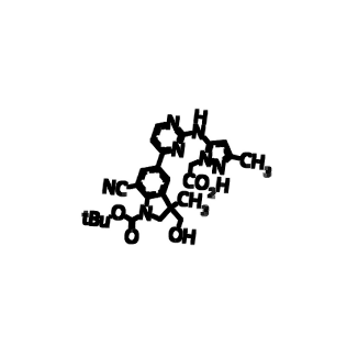 Cc1cc(Nc2nccc(-c3cc(C#N)c4c(c3)C(C)(CO)CN4C(=O)OC(C)(C)C)n2)n(CC(=O)O)n1